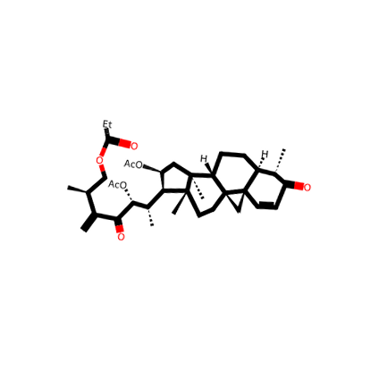 C=C(C(=O)[C@H](OC(C)=O)[C@@H](C)[C@H]1[C@@H](OC(C)=O)C[C@@]2(C)[C@@H]3CC[C@H]4[C@H](C)C(=O)C=C[C@@]45C[C@@]35CC[C@]12C)[C@@H](C)COC(=O)CC